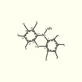 CCCN1c2c(C)c(C)c(C)c(C)c2Sc2c(C)c(C)c(C)c(C)c21